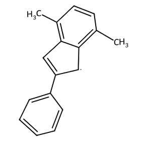 Cc1ccc(C)c2c1[CH]C(c1ccccc1)=C2